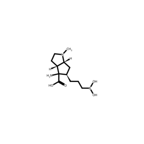 CN1CC[C@@H]2[C@H]1C[C@@H](CCCB(O)O)C2(N)C(=O)O